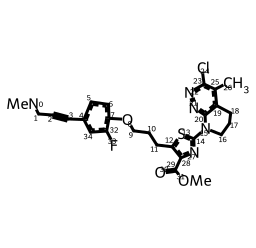 CNCC#Cc1ccc(OCCCc2sc(N3CCCc4c3nnc(Cl)c4C)nc2C(=O)OC)c(F)c1